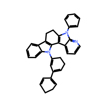 C1=CC(C2=CCCC(n3c4c(c5ccccc53)CCc3c-4c4cccnc4n3-c3ccccc3)=C2)=CCC1